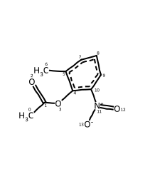 CC(=O)Oc1c(C)cccc1[N+](=O)[O-]